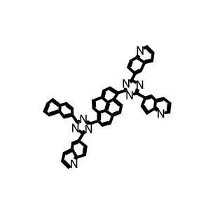 c1ccc2cc(-c3nc(-c4ccc5ncccc5c4)nc(-c4ccc5ccc6c(-c7nc(-c8ccc9ncccc9c8)nc(-c8ccc9ncccc9c8)n7)ccc7ccc4c5c76)n3)ccc2c1